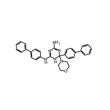 NC1=NC(c2ccc(-c3ccccc3)cc2)(N2CCOCC2)NC(Nc2ccc(-c3ccccc3)cc2)=N1